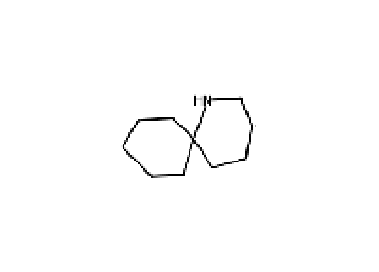 [CH]1CCC2(CCCCC2)NC1